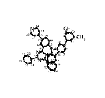 Cc1cc(C)cc(-c2ccc3c4ccccc4n(-c4ccc(-c5ccncc5)cc4-c4nc(-c5ccccc5)nc(-c5ccccc5)n4)c3c2)c1